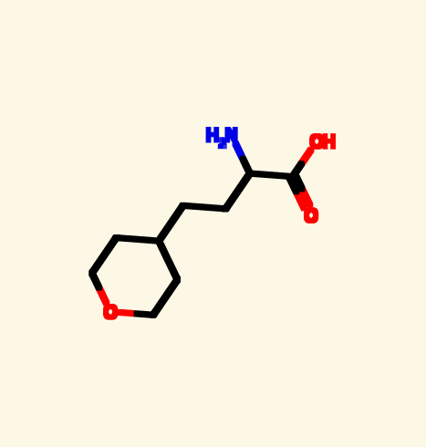 NC(CCC1CCOCC1)C(=O)O